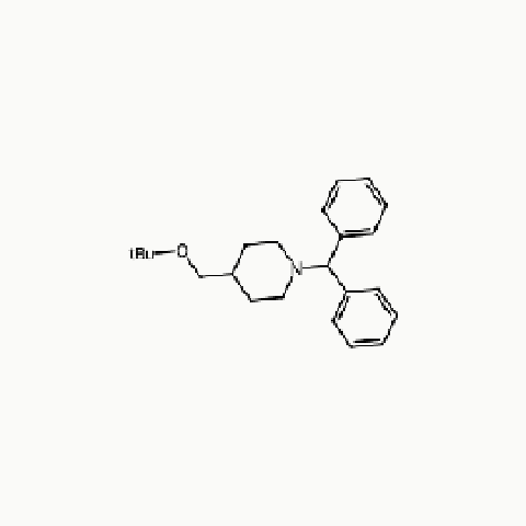 CC(C)(C)OCC1CCN(C(c2ccccc2)c2ccccc2)CC1